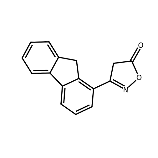 O=C1CC(c2cccc3c2Cc2ccccc2-3)=NO1